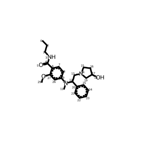 CCCNC(=O)c1ccc(N(C)C(CN2CCC(O)C2)c2ccccc2)cc1OC